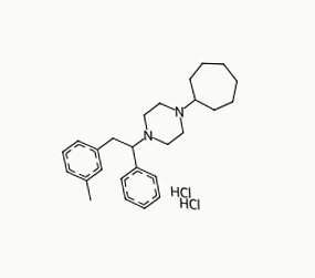 Cc1cccc(CC(c2ccccc2)N2CCN(C3CCCCCC3)CC2)c1.Cl.Cl